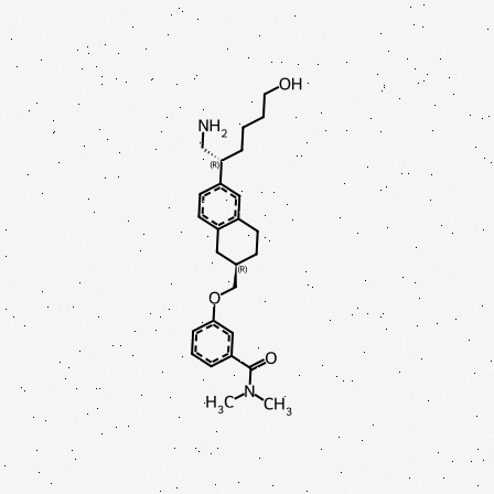 CN(C)C(=O)c1cccc(OC[C@@H]2CCc3cc([C@H](CN)CCCCO)ccc3C2)c1